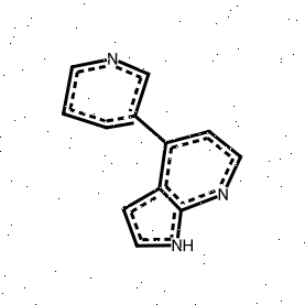 c1cncc(-c2ccnc3[nH]ccc23)c1